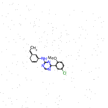 CC=C1C=C(Nc2ncnc(-c3cc(Cl)ccc3OC)n2)C=CC1